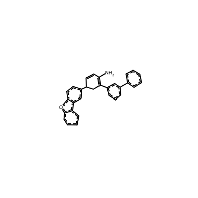 NC1=C(c2cccc(-c3ccccc3)c2)CC(c2ccc3oc4ccccc4c3c2)C=C1